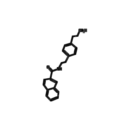 O=C(O)CCc1ccc(CCNC(=O)c2ccc3ccccc3c2)cc1